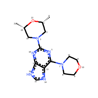 C[C@@H]1CN(c2nc(N3CCOCC3)c3nc[nH]c3n2)C[C@H](C)O1